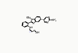 CC(C)(C)n1c(-c2ccccc2N/C=C\N=N)nc2cc(-c3cnc(N)nc3)ccc21